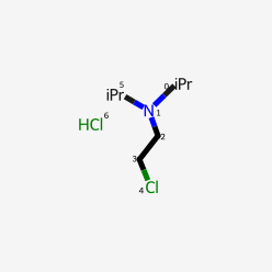 CC(C)N(CCCl)C(C)C.Cl